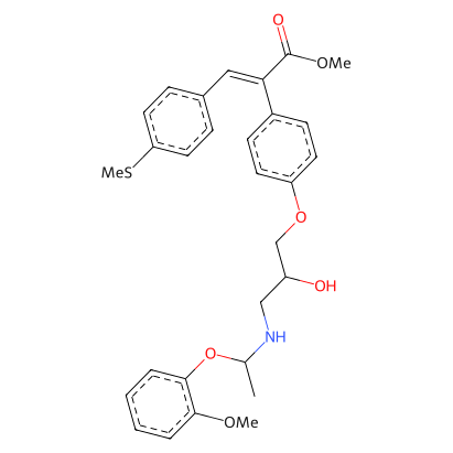 COC(=O)C(=Cc1ccc(SC)cc1)c1ccc(OCC(O)CNC(C)Oc2ccccc2OC)cc1